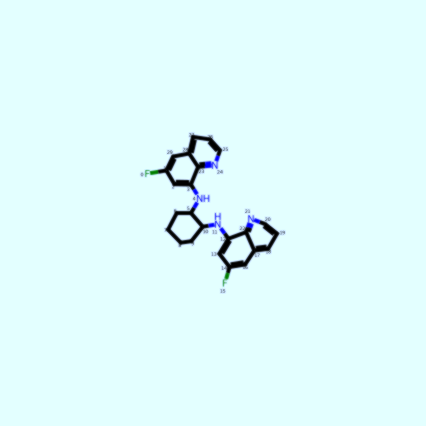 Fc1cc(NC2CCCCC2Nc2cc(F)cc3cccnc23)c2ncccc2c1